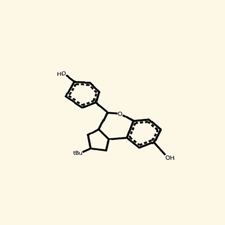 CC(C)(C)C1CC2c3cc(O)ccc3OC(c3ccc(O)cc3)C2C1